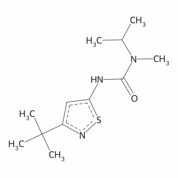 CC(C)N(C)C(=O)Nc1cc(C(C)(C)C)ns1